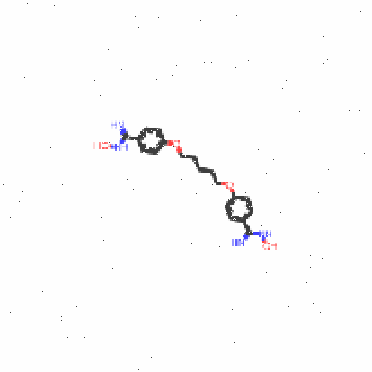 N=C(NO)c1ccc(OCCCCCOc2ccc(C(=N)NO)cc2)cc1